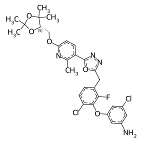 Cc1nc(OC[C@@H]2OC(C)(C)OC2(C)C)ccc1-c1nnc(Cc2ccc(Cl)c(Oc3cc(N)cc(Cl)c3)c2F)o1